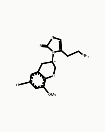 COc1cc(Cl)cc2c1OC[C@H](N1C(=S)[N]C=C1CCN)C2